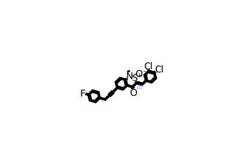 CN1c2ccc(C#CCc3ccc(F)cc3)cc2C(=O)/C(=C/c2ccc(Cl)c(Cl)c2)[S+]1[O-]